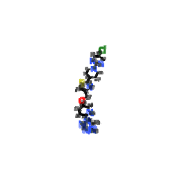 Clc1cnc(N2CCC(c3nc(COC4C=CC(n5cnnn5)=NC4)cs3)CC2)nc1